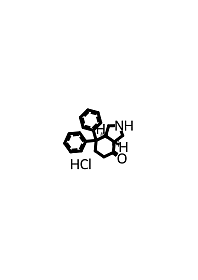 Cl.O=C1CCC(c2ccccc2)(c2ccccc2)[C@@H]2CNC[C@H]12